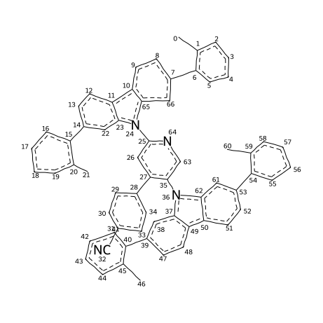 Cc1ccccc1-c1ccc2c3ccc(-c4ccccc4C)cc3n(-c3cc(-c4ccc(C#N)cc4)c(-n4c5cc(-c6ccccc6C)ccc5c5ccc(-c6ccccc6C)cc54)cn3)c2c1